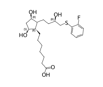 O=C(O)CCCCCC[C@@H]1C(CC[C@@H](O)CSc2ccccc2F)[C@H](O)C[C@@H]1O